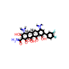 CN(C)c1cc(-c2ccc(F)c(F)c2)c(O)c2c1C[C@@H]1C[C@@H]3[C@H](N(C)C)C(O)=C(C(N)=O)C(=O)[C@@]3(O)C(O)=C1C2=O